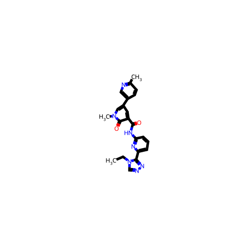 CCn1cnnc1-c1cccc(NC(=O)c2cc(-c3ccc(C)nc3)cn(C)c2=O)n1